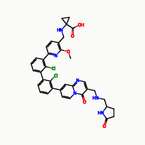 COc1nc(-c2cccc(-c3cccc(-c4ccn5c(=O)c(CNCC6CCC(=O)N6)cnc5c4)c3Cl)c2Cl)ccc1CNC1(C(=O)O)CC1